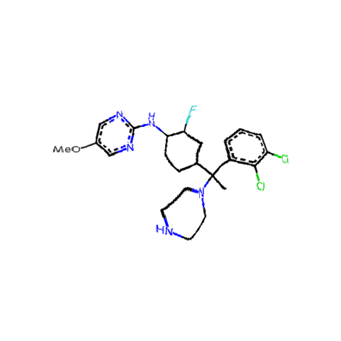 COc1cnc(NC2CCC(C(C)(c3cccc(Cl)c3Cl)N3CCNCC3)CC2F)nc1